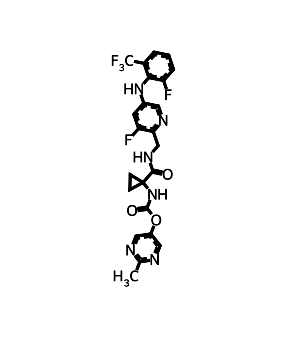 Cc1ncc(OC(=O)NC2(C(=O)NCc3ncc(Nc4c(F)cccc4C(F)(F)F)cc3F)CC2)cn1